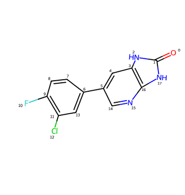 O=c1[nH]c2cc(-c3ccc(F)c(Cl)c3)cnc2[nH]1